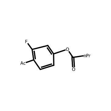 CCCC(=O)Oc1ccc(C(C)=O)c(F)c1